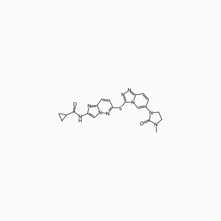 CN1CCN(c2ccc3nnc(Sc4ccc5nc(NC(=O)C6CC6)cn5n4)n3c2)C1=O